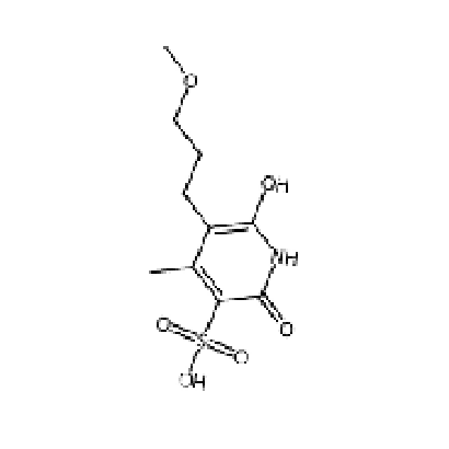 COCCCc1c(O)[nH]c(=O)c(S(=O)(=O)O)c1C